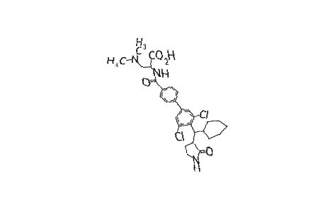 CN(C)CC(NC(=O)c1ccc(-c2cc(Cl)c(C(C3CCCCC3)C3CCNC3=O)c(Cl)c2)cc1)C(=O)O